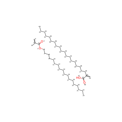 C=C(C)C(=O)OCCCCCCCCCCCCCCCCCC.C=C(CCCCCCCCCCCCCCCCCCC)C(=O)O